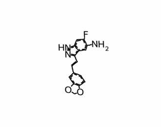 Nc1cc2c(C=Cc3ccc4c(c3)OCO4)n[nH]c2cc1F